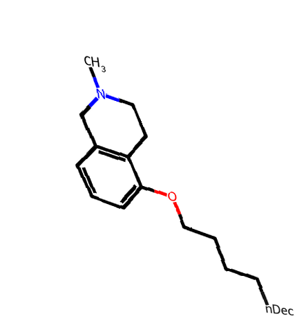 CCCCCCCCCCCCCCOc1cccc2c1CCN(C)C2